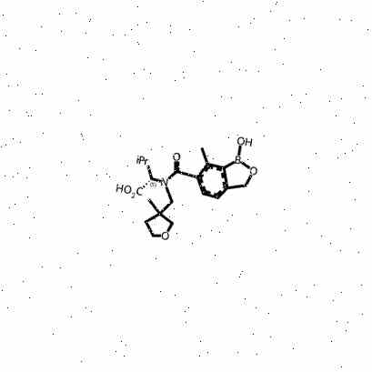 Cc1c(C(=O)N(CC2(C)CCOC2)[C@H](C(=O)O)C(C)C)ccc2c1B(O)OC2